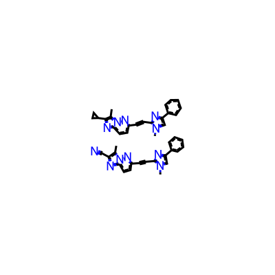 Cc1c(C#N)nc2ccc(C#Cc3nc(-c4ccccc4)cn3C)nn12.Cc1c(C2CC2)nc2ccc(C#Cc3nc(-c4ccccc4)cn3C)nn12